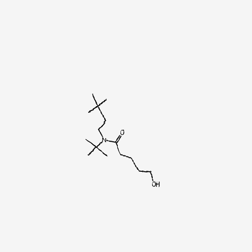 CC(C)(C)CCN(C(=O)CCCCO)C(C)(C)C